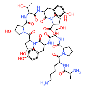 C[C@H](N)C(=O)N[C@@H](CCCCN)C(=O)N1CCC[C@H]1C(=O)N[C@@H](CO)C(=O)N[C@@H](Cc1ccc(O)cc1)C(=O)N1C[C@H](O)C[C@H]1C(=O)N1C[C@H](O)C[C@H]1C(=O)N[C@H](C(=O)N[C@@H](Cc1ccc(O)cc1)C(=O)N1C[C@H](O)C[C@H]1C(=O)O)[C@@H](C)O